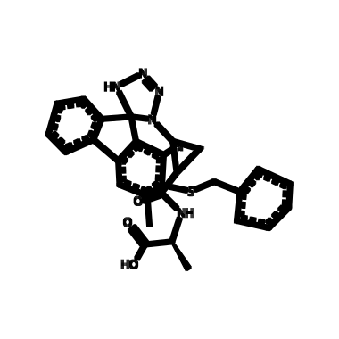 Cc1cc2c(c(Br)c1SCc1ccccc1)C1(NN=NN1C1CC1C(=O)N[C@@H](C)C(=O)O)c1ccccc1-2